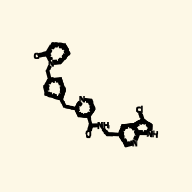 O=C(NCc1cnc2[nH]cc(Cl)c2c1)c1ccnc(Cc2ccc(Cn3ccccc3=O)cc2)c1